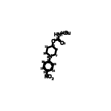 CC(C)(C)NC(=O)OC1CCN(c2ccc([N+](=O)[O-])cc2)CC1